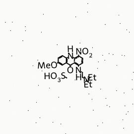 CCN(CC)CCNc1ccc([N+](=O)[O-])c2[nH]c3ccc(OC)cc3c(=O)c12.CS(=O)(=O)O